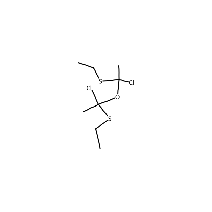 CCSC(C)(Cl)OC(C)(Cl)SCC